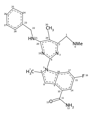 CNCc1nc(-n2c(C)cc3c(C(N)=O)cc(F)cc32)nc(NCc2ccccc2)c1C